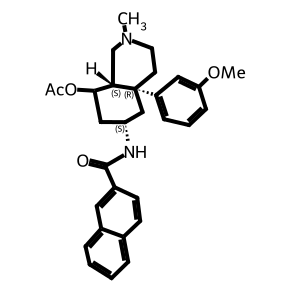 COc1cccc([C@@]23CCN(C)C[C@H]2C(OC(C)=O)C[C@@H](NC(=O)c2ccc4ccccc4c2)C3)c1